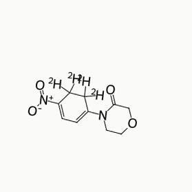 [2H]C1([2H])C(N2CCOCC2=O)=CC=C([N+](=O)[O-])C1([2H])[2H]